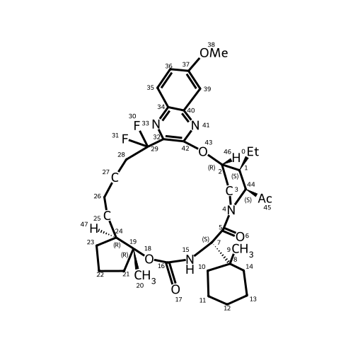 CC[C@@H]1[C@@H]2CN(C(=O)[C@H](C3(C)CCCCC3)NC(=O)O[C@]3(C)CCC[C@H]3CCCCC(F)(F)c3nc4ccc(OC)cc4nc3O2)[C@@H]1C(C)=O